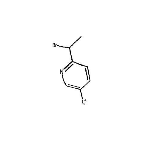 CC(Br)c1ccc(Cl)cn1